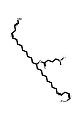 CCCC/C=C/C/C=C\CCCCCCCCC(CCCCCCCC/C=C\C/C=C\CCCCC)OC(=O)CCCN(C)CC